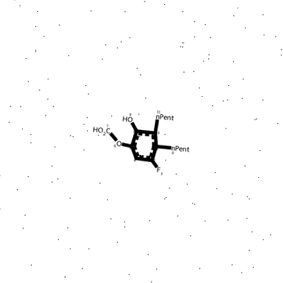 CCCCCc1c(F)cc(OC(=O)O)c(O)c1CCCCC